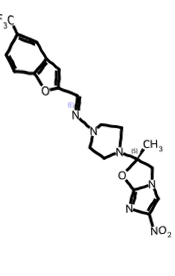 C[C@@]1(N2CCN(/N=C/c3cc4cc(C(F)(F)F)ccc4o3)CC2)Cn2cc([N+](=O)[O-])nc2O1